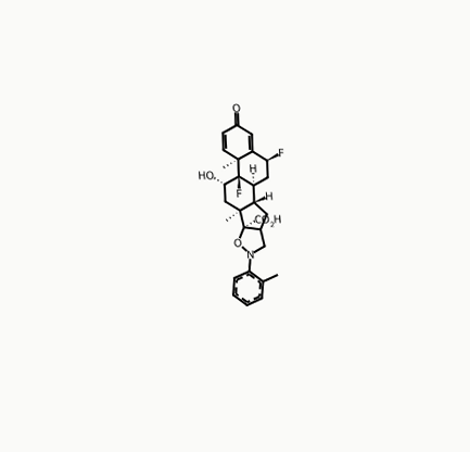 Cc1ccccc1N1CC2C[C@H]3[C@@H]4C[C@H](F)C5=CC(=O)C=C[C@]5(C)[C@@]4(F)[C@@H](O)C[C@]3(C)[C@]2(C(=O)O)O1